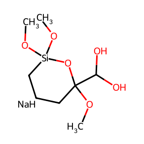 COC1(C(O)O)CCC[Si](OC)(OC)O1.[NaH]